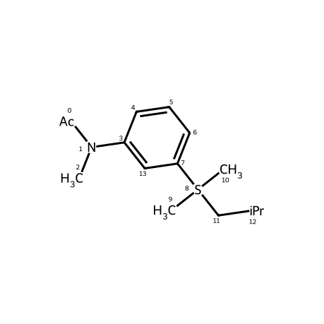 CC(=O)N(C)c1cccc(S(C)(C)CC(C)C)c1